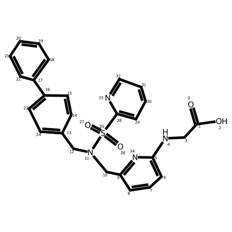 O=C(O)CNc1cccc(CN(Cc2ccc(-c3ccccc3)cc2)S(=O)(=O)c2ccccn2)n1